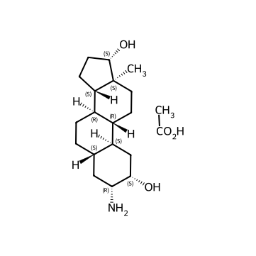 CC(=O)O.C[C@]12CC[C@H]3[C@@H](CC[C@H]4C[C@@H](N)[C@@H](O)C[C@@H]43)[C@@H]1CC[C@@H]2O